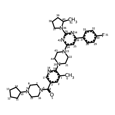 Cc1cc(C(=O)N2CCN(C3CCCC3)CC2)cnc1N1CCN(c2cc(-c3ccc(F)cc3)nc(N3CCCC3C)n2)CC1